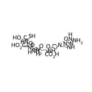 CN(CC1CNc2nc(N)[nH]c(=O)c2N1C)c1ccc(C(=O)N[C@@H](CCC(=O)NC[C@H](N)C(=O)N[C@@H](CC(=O)O)C(=O)N[C@@H](CS)C(=O)O)C(=O)O)cc1